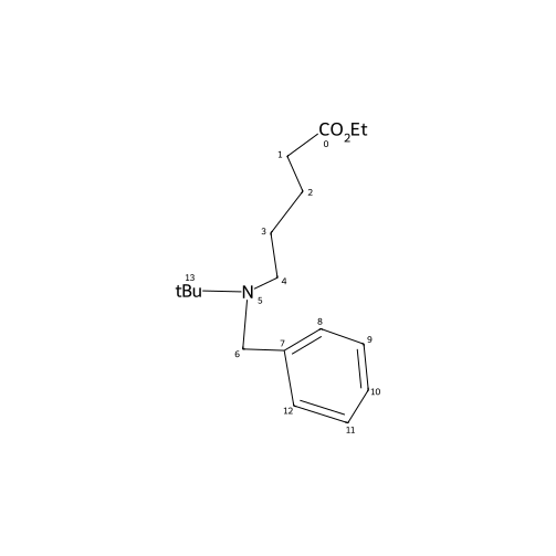 CCOC(=O)CCCCN(Cc1ccccc1)C(C)(C)C